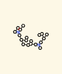 C1=CC(c2ccc(N(c3ccc(-c4ccc(-c5cccc(-c6ccc7cc(-c8ccc(N(c9ccccc9)c9ccc(-c%10ccc(-c%11ccccc%11)c(-c%11cccc%12ccccc%11%12)c%10)cc9)cc8)c8ccccc8c7c6)c5)c(-c5cccc6ccccc56)c4)cc3)c3ccccc3-c3ccccc3)cc2)=CCC1